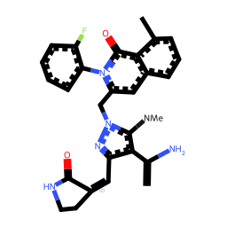 C=C(N)c1c(/C=C2/CCNC2=O)nn(Cc2cc3cccc(C)c3c(=O)n2-c2ccccc2F)c1NC